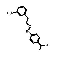 CC(O)c1ccc(NOCCc2cccc(N)c2)cc1